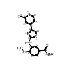 CNC(=O)c1ccc(OC(F)(F)F)c(Nc2nc(-c3ccnc(Cl)c3)cs2)c1